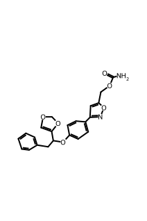 NC(=O)OCc1cc(-c2ccc(OC(Cc3ccccc3)C3=COCO3)cc2)no1